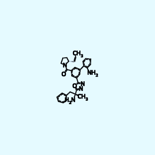 C/C=C\[C@H]1CCCN1C(=O)c1cc(-c2nnc([C@](C)(N)Cc3ccccc3)o2)cc(-c2ccccc2N)c1